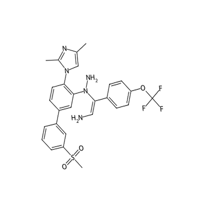 Cc1cn(-c2ccc(-c3cccc(S(C)(=O)=O)c3)cc2N(N)/C(=C\N)c2ccc(OC(F)(F)F)cc2)c(C)n1